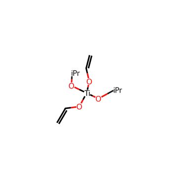 C=C[O][Ti]([O]C=C)([O]C(C)C)[O]C(C)C